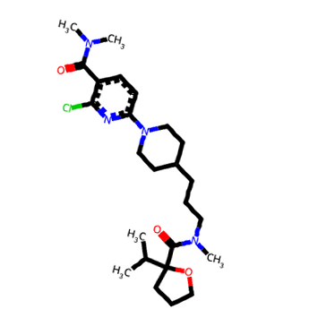 CC(C)C1(C(=O)N(C)CCCC2CCN(c3ccc(C(=O)N(C)C)c(Cl)n3)CC2)CCCO1